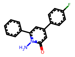 Nn1c(-c2ccccc2)cc(-c2ccc(F)cc2)cc1=O